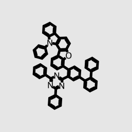 c1ccc(-c2nc(-c3ccccc3)nc(-c3cc(-c4ccccc4-c4ccccc4)ccc3-c3cccc4c3oc3ccc5c6ccccc6n(-c6ccccc6)c5c34)n2)cc1